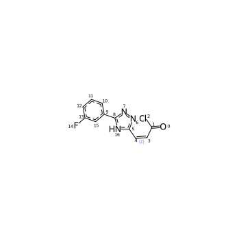 O=C(Cl)/C=C\c1nnc(-c2cccc(F)c2)[nH]1